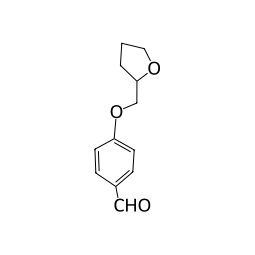 O=Cc1ccc(OCC2CCCO2)cc1